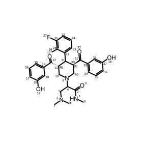 CNC(=O)C(CN(C)C)N1C[C@H](C(=O)c2cccc(O)c2)C(c2cccc(F)c2C)[C@@H](C(=O)c2cccc(O)c2)C1